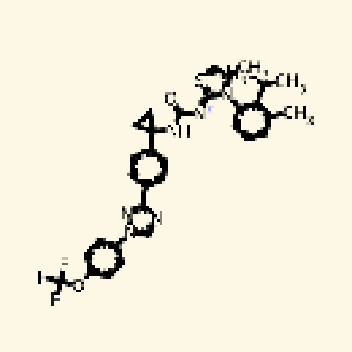 Cc1cccc(-n2c(C)cs/c2=N\C(=O)NC2(c3ccc(-c4ncn(-c5ccc(OC(F)(F)F)cc5)n4)cc3)CC2)c1C(C)C